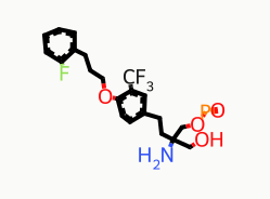 NC(CO)(CCc1ccc(OCCCc2ccccc2F)c(C(F)(F)F)c1)COP=O